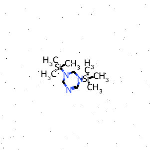 C[Si](C)(C)N1C=NCN([Si](C)(C)C)C1